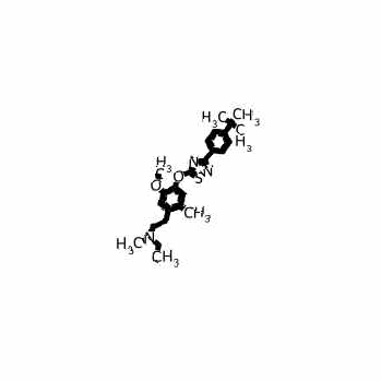 CCN(C)CCc1cc(OC)c(Oc2nc(-c3ccc(C(C)(C)C)cc3)ns2)cc1C